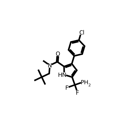 CN(CC(C)(C)C)C(=O)c1[nH]c(C(F)(F)P)cc1-c1ccc(Cl)cc1